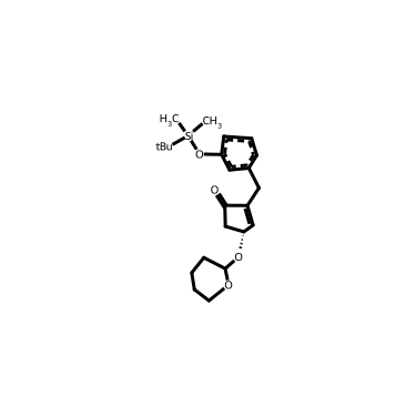 CC(C)(C)[Si](C)(C)Oc1cccc(CC2=C[C@H](OC3CCCCO3)CC2=O)c1